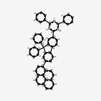 c1ccc(-c2nc(-c3ccccc3)nc(-c3ccc4c(c3)C(c3ccccc3)(c3ccccc3)c3cc(-c5ccc6ccc7cccc8ccc5c6c78)ccc3-4)n2)cc1